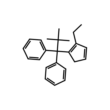 CCC1=C(C(c2ccccc2)(c2ccccc2)C(C)(C)C)CC=C1